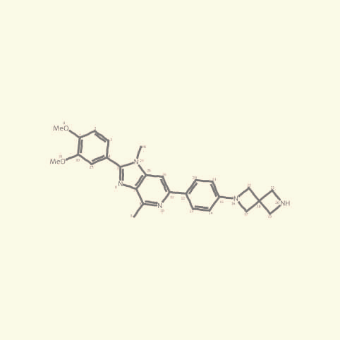 COc1ccc(-c2nc3c(C)nc(-c4ccc(N5CC6(CNC6)C5)cc4)cc3n2C)cc1OC